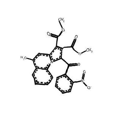 COC(=O)c1c(C(=O)OC)c2cc(C)c3ccccc3n2c1C(=O)c1ccccc1[N+](=O)[O-]